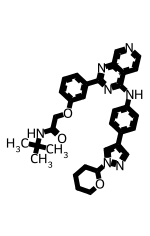 CC(C)(C)NC(=O)COc1cccc(-c2nc(Nc3ccc(-c4cnn(C5CCCCO5)c4)cc3)c3ccncc3n2)c1